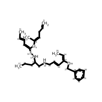 C=CC/C=C(\C)O/C(=C\C=C\C)SNC(CCC)CNC/C=C/C(=C\C)OCc1ccccc1